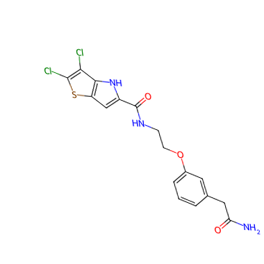 NC(=O)Cc1cccc(OCCNC(=O)c2cc3sc(Cl)c(Cl)c3[nH]2)c1